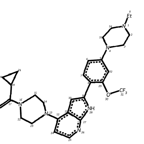 CCN1CCN(c2ccc(-c3cc4c(N5CCN(C(=O)C6CC6)CC5)ccnc4[nH]3)c(OC(F)(F)F)c2)CC1